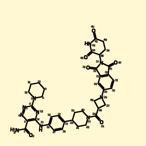 NC(=O)c1nnc(N2CCCCC2)nc1Nc1ccc(C2CCN(C(=O)C3CN(c4ccc5c(c4)C(=O)N(C4CCC(=O)NC4=O)C5=O)C3)CC2)cc1